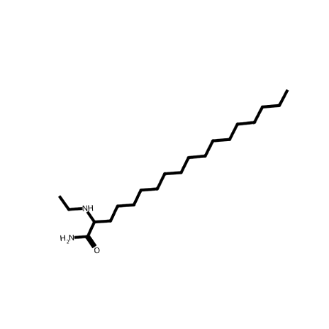 CCCCCCCCCCCCCCCCC(NCC)C(N)=O